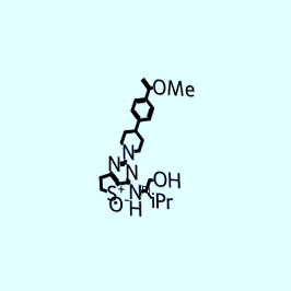 C=C(OC)c1ccc(C2CCN(c3nc4c(c(N[C@@H](CO)C(C)C)n3)[S+]([O-])CC4)CC2)cc1